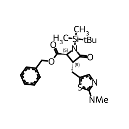 CNc1ncc(C[C@H]2C(=O)N([Si](C)(C)C(C)(C)C)[C@@H]2C(=O)OCc2ccccc2)s1